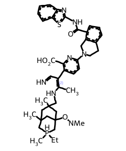 CC[PH]1(C)CC2(C)CC(C)(CN/C(C)=C(\C=N)c3ccc(N4CCc5cccc(C(=O)Nc6nc7ccccc7s6)c5C4)nc3C(=O)O)CC(ONC)(C2)C1